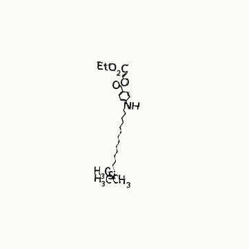 CCOC(=O)/C=C/OC(=O)c1ccc(NCCCCCCCCCCCCCC[Si](C)(C)C)cc1